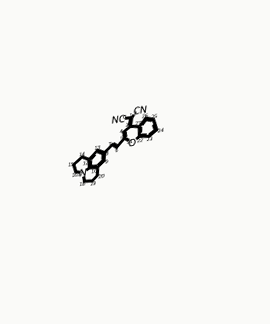 N#CC(C#N)=C1C=C(/C=C/c2cc3c4c(c2)CCCN4CCC3)Oc2ccccc21